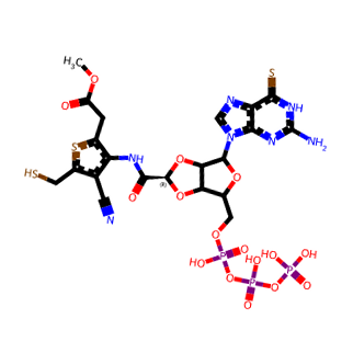 COC(=O)Cc1sc(CS)c(C#N)c1NC(=O)[C@@H]1OC2C(COP(=O)(O)OP(=O)(O)OP(=O)(O)O)OC(n3cnc4c(=S)[nH]c(N)nc43)C2O1